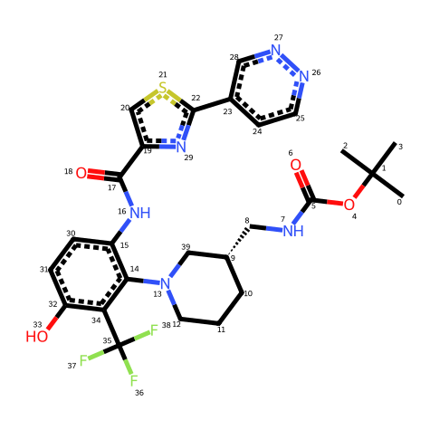 CC(C)(C)OC(=O)NC[C@@H]1CCCN(c2c(NC(=O)c3csc(-c4ccnnc4)n3)ccc(O)c2C(F)(F)F)C1